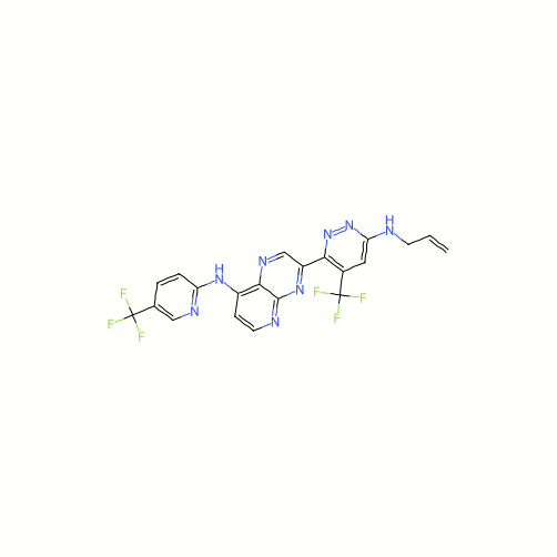 C=CCNc1cc(C(F)(F)F)c(-c2cnc3c(Nc4ccc(C(F)(F)F)cn4)ccnc3n2)nn1